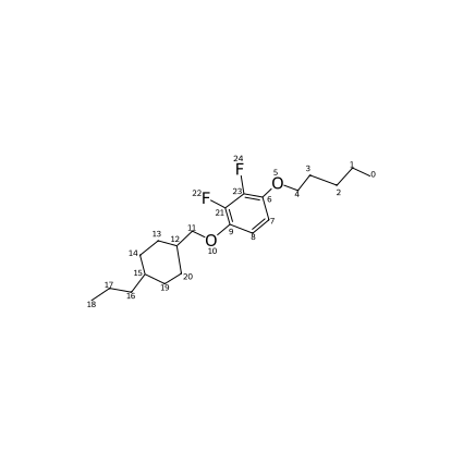 CCCCCOc1ccc(OCC2CCC(CCC)CC2)c(F)c1F